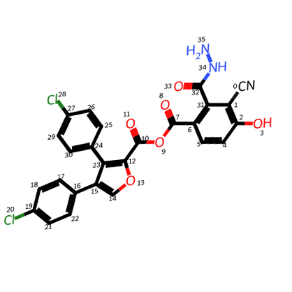 N#Cc1c(O)ccc(C(=O)OC(=O)c2occ(-c3ccc(Cl)cc3)c2-c2ccc(Cl)cc2)c1C(=O)NN